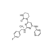 C[C@H](Nc1nc(Nc2cnccn2)cc(N2CCCNC2=O)n1)c1ccc(F)cc1